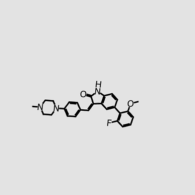 COc1cccc(F)c1-c1ccc2c(c1)/C(=C/c1ccc(N3CCN(C)CC3)cc1)C(=O)N2